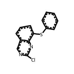 Clc1ncc2cccc(Sc3ccccc3)c2n1